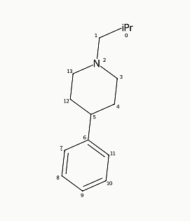 CC(C)CN1CCC(c2[c]cccc2)CC1